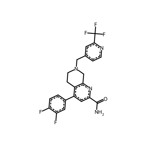 NC(=O)c1cc(-c2ccc(F)c(F)c2)c2c(n1)CN(Cc1ccnc(C(F)(F)F)c1)CC2